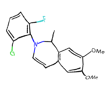 COc1cc2c(cc1OC)C(C)N(c1c(F)cccc1Cl)C=C2